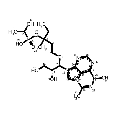 CCC(C)(CCO[C@H]([C@H](O)CO)n1c[n+]2c3c(ncnc31)N(C)N=C2C)OP(=O)(O)C(C)O